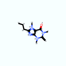 C=C1N(C)C(=O)c2c(nc(CCC)n2C)N1C